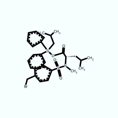 CC(C)C[C@@H](C(=O)O[Si](CC(C)C)(c1ccccc1)c1ccccc1)N(C)S(=O)(=O)c1ccc(CBr)cc1